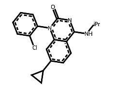 CC(C)Nc1nc(=O)n(-c2ccccc2Cl)c2cc(C3CC3)ccc12